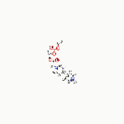 CCOC(=O)OC(C)OC(=O)CN1CCC(C2CCN(C)CC2)CC1